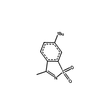 CC1=NS(=O)(=O)c2cc(C(C)(C)C)ccc21